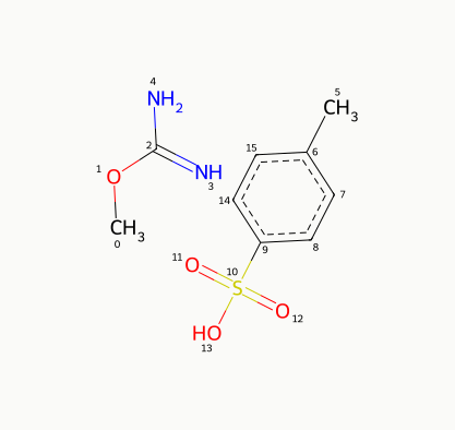 COC(=N)N.Cc1ccc(S(=O)(=O)O)cc1